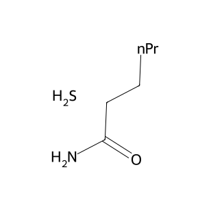 CCCCCC(N)=O.S